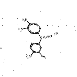 Cl.Cl.Cl.Cl.Nc1ccc(Cc2ccc(N)c(N)c2)cc1N